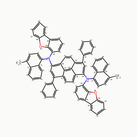 FC(F)(F)c1ccc(N(c2cc(-c3ccccc3)c3ccc4c(N(c5ccc(C(F)(F)F)c6ccccc56)c5cccc6c5oc5ccccc56)cc(-c5ccccc5)c5ccc2c3c54)c2cccc3c2oc2ccccc23)c2ccccc12